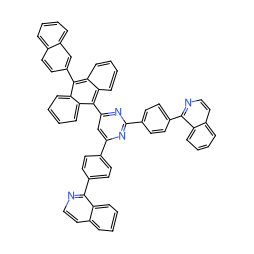 c1ccc2cc(-c3c4ccccc4c(-c4cc(-c5ccc(-c6nccc7ccccc67)cc5)nc(-c5ccc(-c6nccc7ccccc67)cc5)n4)c4ccccc34)ccc2c1